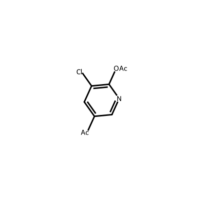 CC(=O)Oc1ncc(C(C)=O)cc1Cl